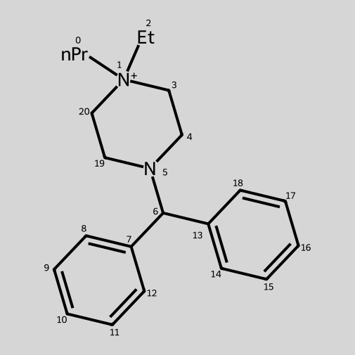 CCC[N+]1(CC)CCN(C(c2ccccc2)c2ccccc2)CC1